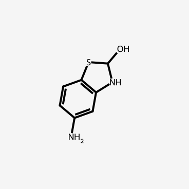 Nc1ccc2c(c1)NC(O)S2